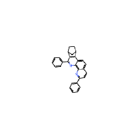 c1ccc(-c2ccc3ccc4c5c(c(-c6ccccc6)nc4c3n2)C2CCC5C2)cc1